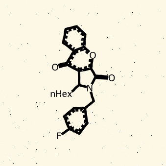 CCCCCCC1c2c(oc3ccccc3c2=O)C(=O)N1Cc1ccc(F)cc1